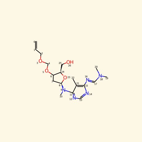 C=CCOCOC1C[C@H](N(C)c2ncnc(/N=C/N(C)C)c2C)O[C@@H]1CO